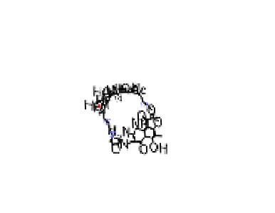 CC(=O)O[C@H]1[C@H](C)[C@H](O)[C@H](C)[C@@H](O)[C@@H](C)/C=C/C=C(/C)C(=O)NC2=C(N)C(=N)c3c(c(O)c(C)c4c3C(=O)[C@@](C)(O/C=C/C(C)[C@H]1C)O4)C2=O